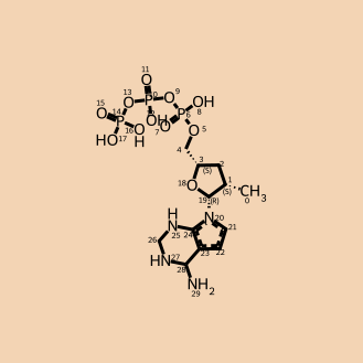 C[C@H]1C[C@@H](COP(=O)(O)OP(=O)(O)OP(=O)(O)O)O[C@H]1n1ccc2c1NCNC2N